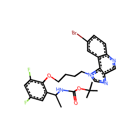 CC(NC(=O)OC(C)(C)C)c1cc(F)cc(F)c1OCCCCn1cnc2cnc3ccc(Br)cc3c21